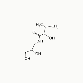 CC(C)C(O)C(=O)NCC(O)CO